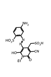 CCn1c(O)c(N=Nc2cc(N)ccc2S(=O)(=O)O)c(CS(=O)(=O)O)c(C#N)c1=O